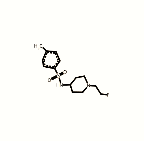 Cc1ccc(S(=O)(=O)NC2CCN(CCF)CC2)cc1